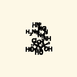 C[C@]1(O)[C@H](NC(=N/O)/N=C(/N)C=N)O[C@@](CO)(CCl)[C@H]1O